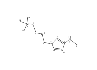 CNc1cn(COCC[Si](C)(C)C)cn1